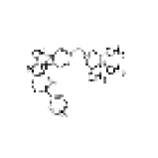 Cc1nc2ccc(-c3ccncc3)nc2n1-c1ccc(CN2C[C@@H](C)N(C)[C@@H](C)C2)cc1